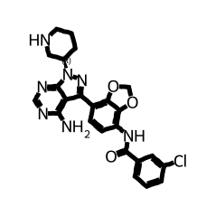 Nc1ncnc2c1c(-c1ccc(NC(=O)c3cccc(Cl)c3)c3c1OCO3)nn2[C@@H]1CCCNC1